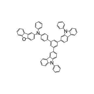 c1ccc(N(c2ccc(-c3cc(-c4ccc5c(c4)c4ccccc4n5-c4ccccc4)cc(-c4ccc5c6ccccc6n(-c6ccccc6)c5c4)c3)cc2)c2ccc3oc4ccccc4c3c2)cc1